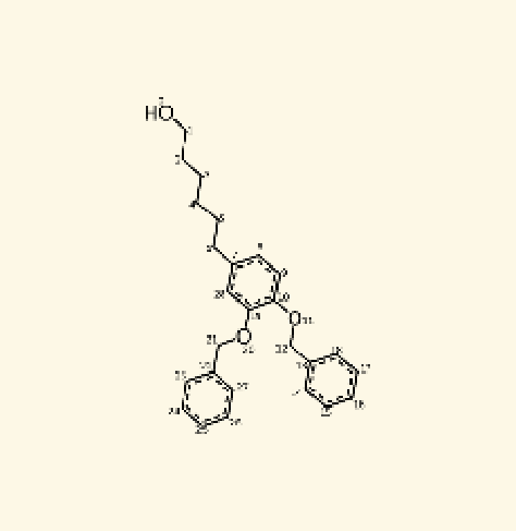 OCCCCCCc1ccc(OCc2ccccc2)c(OCc2ccccc2)c1